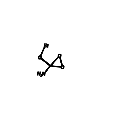 CCOC1(N)OO1